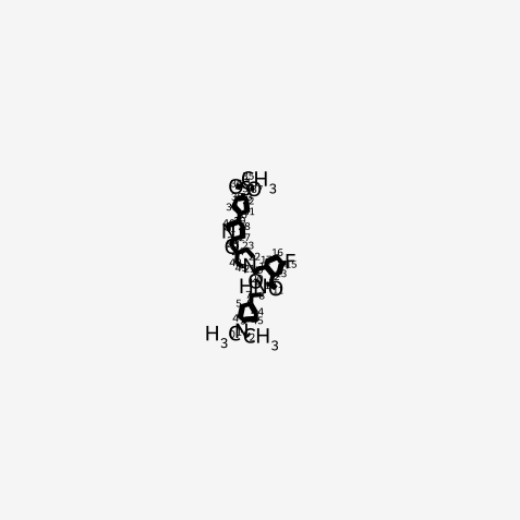 CN(C)c1ccc(CCNC(=O)c2cc(F)ccc2C(=O)N2CCC(Oc3ccc(-c4ccc(S(C)(=O)=O)cc4)cn3)CC2)cc1